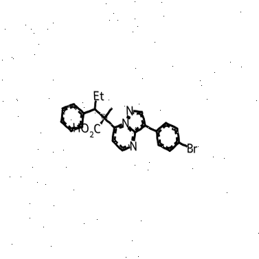 CCC(c1ccccc1)[C@@](C)(C(=O)O)c1ccnc2c(-c3ccc(Br)cc3)cnn12